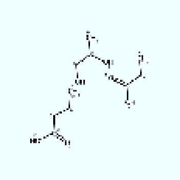 CC(O)CO.CCC(=O)O.CCCC(=O)O